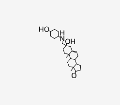 CC12CCC3C(CC=C4CC(O)(CNC5CCC(O)CC5)CCC43C)C1CCC2=O